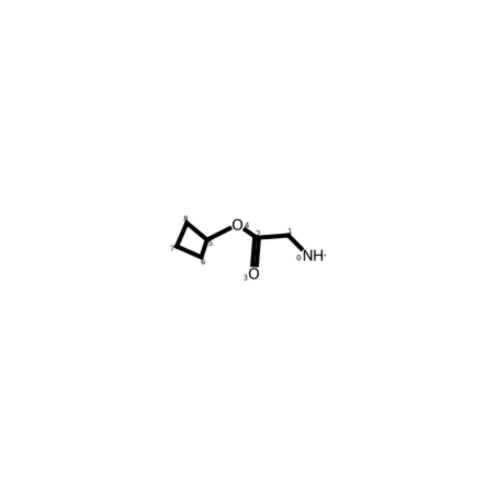 [NH]CC(=O)OC1CCC1